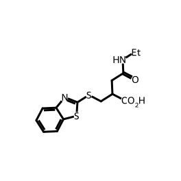 CCNC(=O)CC(CSc1nc2ccccc2s1)C(=O)O